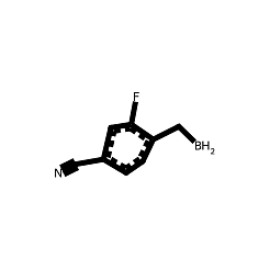 BCc1ccc(C#N)cc1F